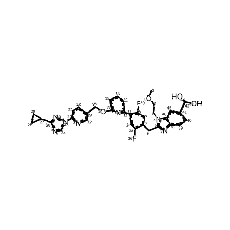 COCCn1c(Cc2cc(F)c(-c3cccc(OCc4ccc(-n5cnc(C6CC6)n5)nc4)n3)cc2F)nc2ccc(C(O)O)cc21